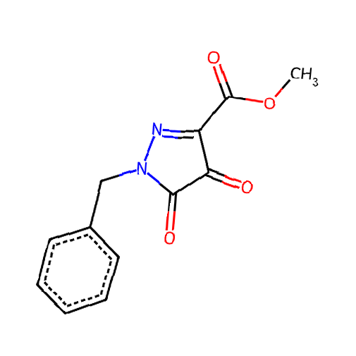 COC(=O)C1=NN(Cc2ccccc2)C(=O)C1=O